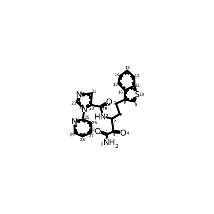 NC(=O)C(=O)C(CCc1csc2ccccc12)NC(=O)c1cncn1-c1ccccn1